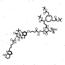 Cc1cc(OCCCC(=O)NCCNC(=O)C(CS(=O)(=O)O)NC(=O)CCC(C(=O)OC(C)(C)C)N2CCN(CC(=O)OC(C)(C)C)CCN(CC(=O)OC(C)(C)C)CC2)cc(C)c1S(=O)(=O)N[C@H](CNC(=O)CCCCc1ccc2c(n1)NCCC2)C(=O)OC(C)(C)C